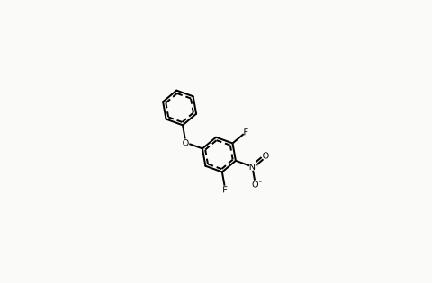 O=[N+]([O-])c1c(F)cc(Oc2ccccc2)cc1F